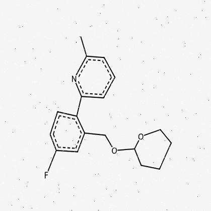 Cc1cccc(-c2ccc(F)cc2COC2CCCCO2)n1